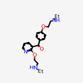 CCNCCOc1ccc(C(=O)c2cccnc2OCCNCC)cc1